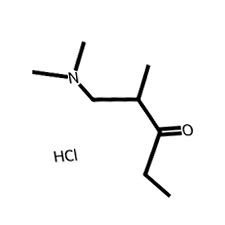 CCC(=O)C(C)CN(C)C.Cl